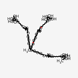 CCC1O[C@@H](OCCCCCCCOCc2cn(CCOCCOCCOCCOCCOC(C)(COCCOCCOCCOCCOCCn3cc(COCCCCCCCO[C@@H]4OC(CO)[C@@H](O)C(O)C4O)nn3)COCCOCCOCCOCCOCCn3cc(COCCCCCCCO[C@H]4OC(CO)[C@@H](O)C(O)C4O)nn3)nn2)C(O)C(O)[C@@H]1O